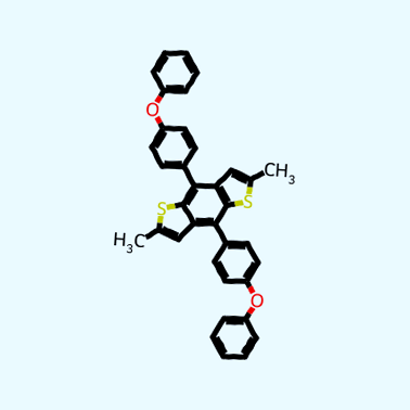 Cc1cc2c(-c3ccc(Oc4ccccc4)cc3)c3sc(C)cc3c(-c3ccc(Oc4ccccc4)cc3)c2s1